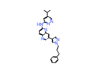 CC(C)c1cnnc(Nc2ccc3ncc(-c4cnn(CCCc5ccccc5)c4)cc3n2)c1